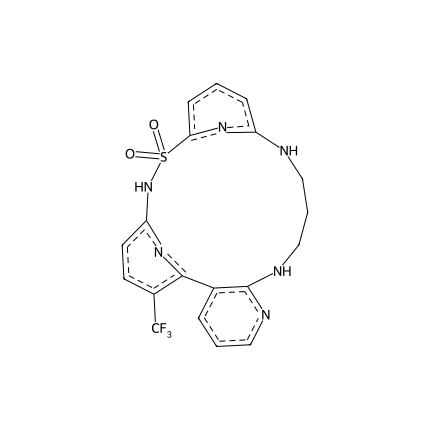 O=S1(=O)Nc2ccc(C(F)(F)F)c(n2)-c2cccnc2NCCCNc2cccc1n2